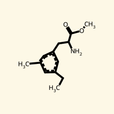 CCc1cc(C)cc(CC(N)C(=O)OC)c1